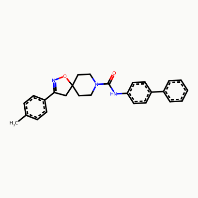 Cc1ccc(C2=NOC3(CCN(C(=O)Nc4ccc(-c5ccccc5)cc4)CC3)C2)cc1